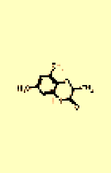 Cc1cc(C)c2c(c1)NC(=O)C(C)O2